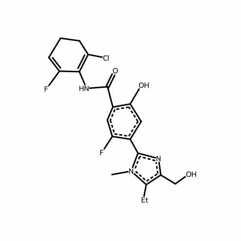 CCc1c(CO)nc(-c2cc(O)c(C(=O)NC3=C(Cl)CCC=C3F)cc2F)n1C